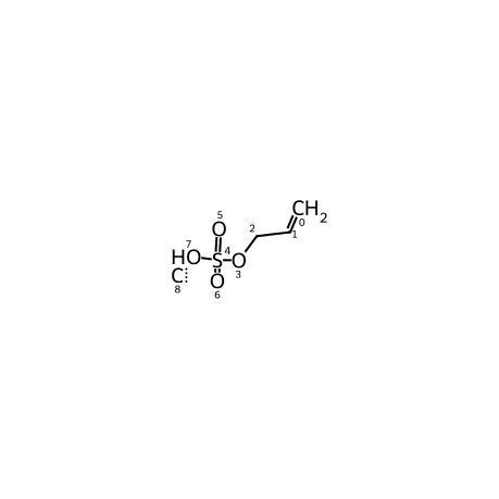 C=CCOS(=O)(=O)O.[C]